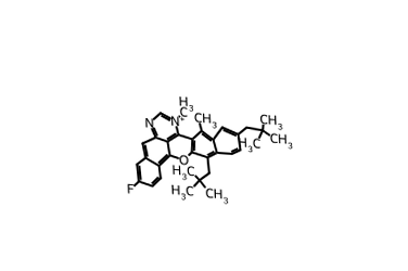 Cc1c2c(c(CC(C)(C)C)c3ccc(CC(C)(C)C)cc13)Oc1c3ccc(F)cc3cc3nc[n+](C)c-2c13